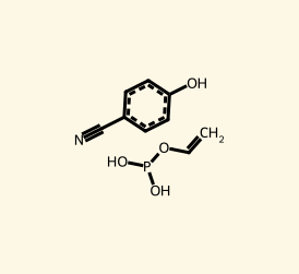 C=COP(O)O.N#Cc1ccc(O)cc1